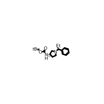 CC[C@@H](c1ccccc1)N1CC[C@H](NC(=O)OC(C)(C)C)C1